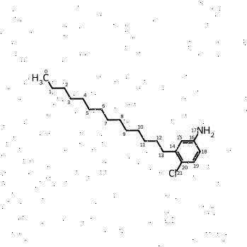 CCCCCCCCCCCCCCc1cc(N)ccc1Cl